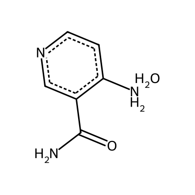 NC(=O)c1cnccc1N.O